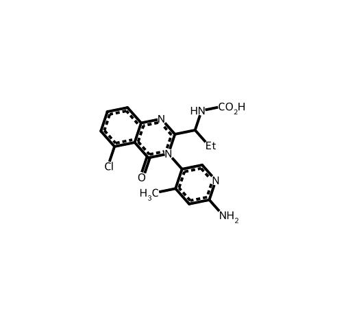 CCC(NC(=O)O)c1nc2cccc(Cl)c2c(=O)n1-c1cnc(N)cc1C